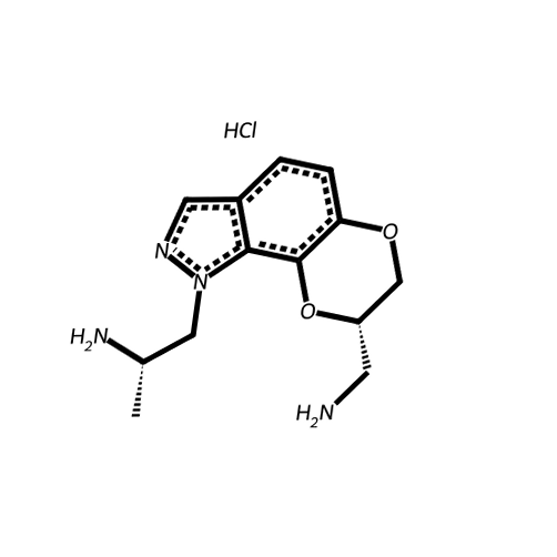 C[C@H](N)Cn1ncc2ccc3c(c21)O[C@@H](CN)CO3.Cl